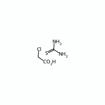 NC(N)=S.O=C(O)CCl